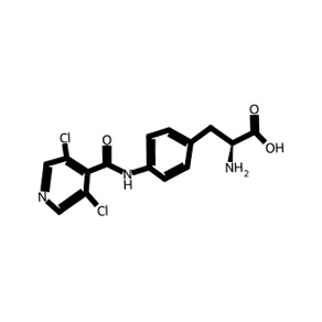 N[C@@H](Cc1ccc(NC(=O)c2c(Cl)cncc2Cl)cc1)C(=O)O